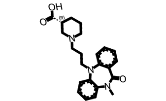 CN1C(=O)c2ccccc2N(CCCN2CCC[C@@H](C(=O)O)C2)c2ccccc21